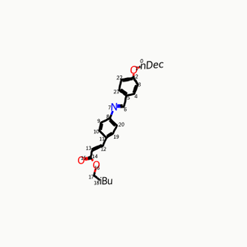 CCCCCCCCCCOc1ccc(C=Nc2ccc(C=CC(=O)OCC(C)CC)cc2)cc1